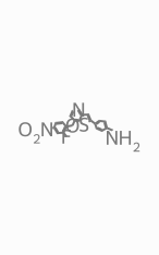 NCc1ccc(-c2cc3nccc(Oc4ccc([N+](=O)[O-])cc4F)c3s2)cc1